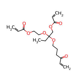 C=CC(=O)CCCOC(CC)(COC(=O)C=C)OCCOC(=O)C=C